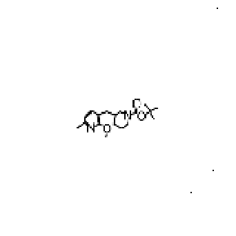 COc1nc(C)ccc1CC1CCCN(C(=O)OC(C)(C)C)C1